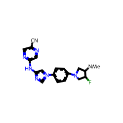 CNC1CN(c2ccc(-n3cnc(Nc4cnc(C#N)cn4)c3)cc2)CC1F